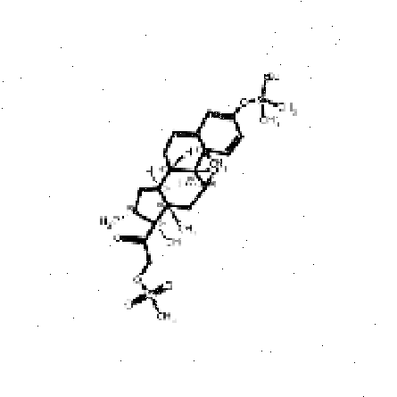 C[C@@H]1C[C@H]2[C@@H]3CC=C4C=C(O[Si](C)(C)C(C)(C)C)C=C[C@]4(C)[C@@]34O[C@H]4C[C@]2(C)[C@@]1(O)C(=O)COS(C)(=O)=O